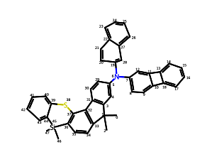 CC1(C)c2cc(N(c3ccc4c(c3)-c3ccccc3-4)c3ccc4ccccc4c3)ccc2-c2c1ccc1c2Sc2ccccc2[Si]1(C)C